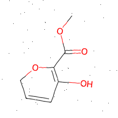 COC(=O)C1=C(O)C=CCO1